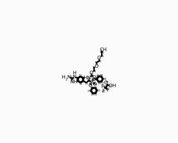 C#CCOCCOCCOC(=O)NC(Cc1ccc(NC(=N)N)cc1)P(=O)(Oc1ccccc1)Oc1ccccc1.O=C(O)C(F)(F)F